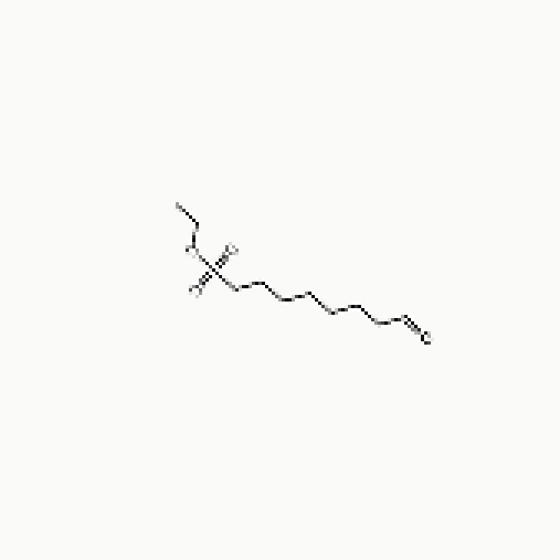 CCOS(=O)(=O)CCCCCCC[C]=O